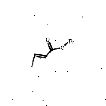 CC=CC(=O)OC(C)C